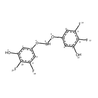 Oc1cc(OBOc2cc(O)c(F)c(F)c2)cc(F)c1F